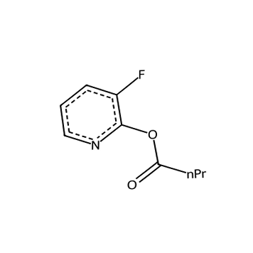 CCCC(=O)Oc1ncccc1F